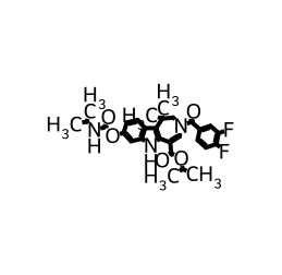 CC(C)NC(=O)Oc1ccc2c3c([nH]c2c1)C(C(=O)OC(C)C)=CN(C(=O)c1ccc(F)c(F)c1)CC3(C)C